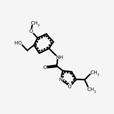 COc1ccc(NC(=O)c2cc(C(C)C)on2)cc1CO